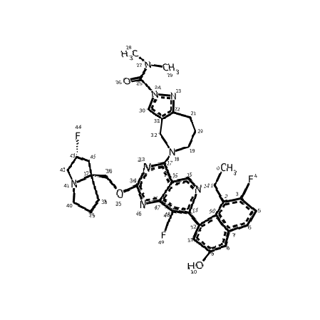 CCc1c(F)ccc2cc(O)cc(-c3ncc4c(N5CCCc6nn(C(=O)N(C)C)cc6C5)nc(OC[C@@]56CCCN5C[C@H](F)C6)nc4c3F)c12